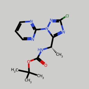 C[C@H](NC(=O)OC(C)(C)C)c1nc(Cl)nn1-c1ncccn1